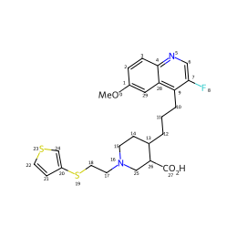 COc1ccc2ncc(F)c(CCCC3CCN(CCSc4ccsc4)CC3C(=O)O)c2c1